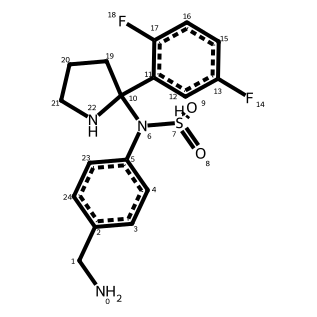 NCc1ccc(N([SH](=O)=O)C2(c3cc(F)ccc3F)CCCN2)cc1